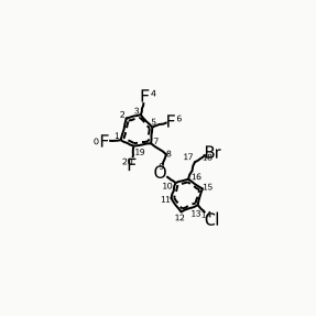 Fc1cc(F)c(F)c(COc2ccc(Cl)cc2CBr)c1F